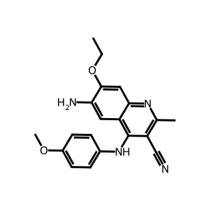 CCOc1cc2nc(C)c(C#N)c(Nc3ccc(OC)cc3)c2cc1N